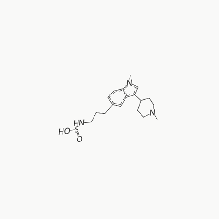 CN1CCC(c2cn(C)c3ccc(CCCNS(=O)O)cc23)CC1